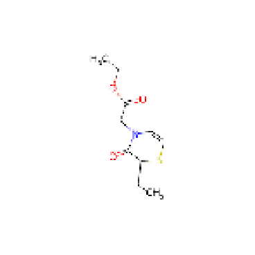 CCOC(=O)CN1C=CSC(CC)C1=O